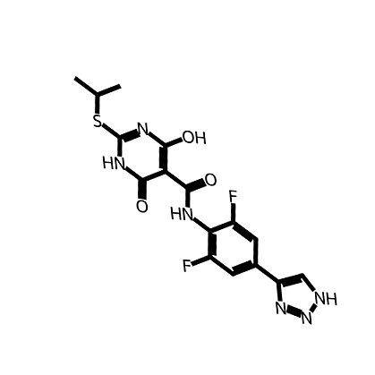 CC(C)Sc1nc(O)c(C(=O)Nc2c(F)cc(-c3c[nH]nn3)cc2F)c(=O)[nH]1